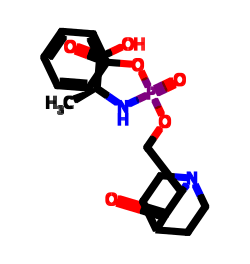 C[C@H](NP(=O)(OCC1C(=O)C2CCN1CC2)Oc1ccccc1)C(=O)O